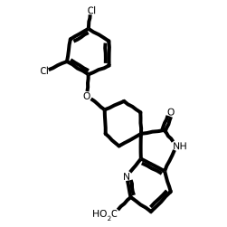 O=C(O)c1ccc2c(n1)C1(CCC(Oc3ccc(Cl)cc3Cl)CC1)C(=O)N2